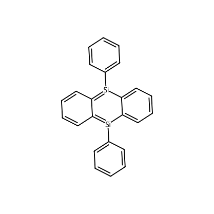 c1ccc(-[si]2c3ccccc3[si](-c3ccccc3)c3ccccc32)cc1